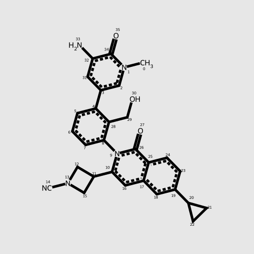 Cn1cc(-c2cccc(-n3c(C4CN(C#N)C4)cc4cc(C5CC5)ccc4c3=O)c2CO)cc(N)c1=O